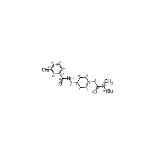 CN(C(=O)CN1CCC(CNC(=O)c2cccc(Cl)c2)CC1)C(C)(C)C